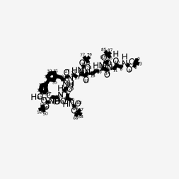 CC(C)(C)OC(=O)NCC(O)CNC(=O)[C@H](CCCNC(=O)[C@H](CCNC(=O)[C@@H]1Cc2cccc(c2)-c2ccc(O)c(c2)C[C@H](NC(=O)OC(C)(C)C)C(=O)N[C@@H](C[C@@H](O)CNC(=O)OC(C)(C)C)C(=O)N1)NC(=O)OC(C)(C)C)NC(=O)OC(C)(C)C